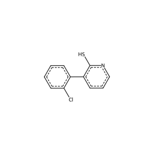 Sc1ncccc1-c1ccccc1Cl